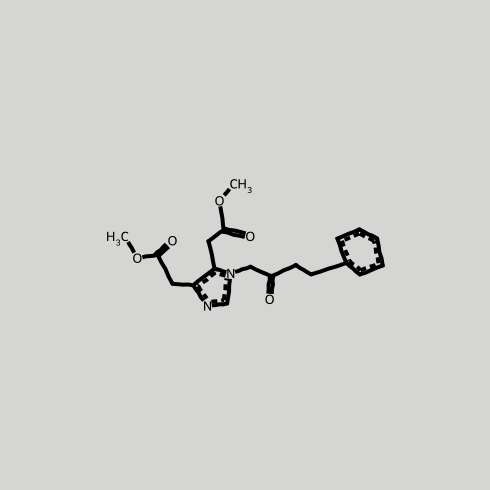 COC(=O)Cc1ncn(CC(=O)CCc2ccccc2)c1CC(=O)OC